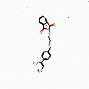 C/C=C(\C)c1ccc(COCCON2C(=O)c3ccccc3C2=O)cc1